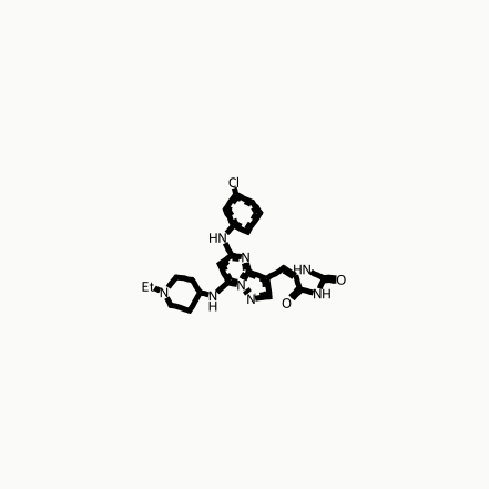 CCN1CCC(Nc2cc(Nc3cccc(Cl)c3)nc3c(/C=C4/NC(=O)NC4=O)cnn23)CC1